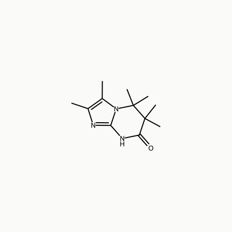 Cc1nc2n(c1C)C(C)(C)C(C)(C)C(=O)N2